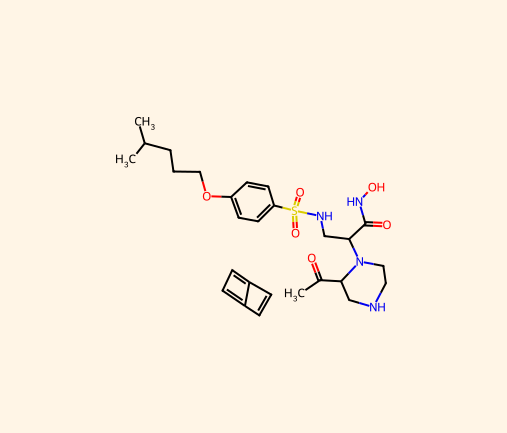 CC(=O)C1CNCCN1C(CNS(=O)(=O)c1ccc(OCCCC(C)C)cc1)C(=O)NO.c1cc2ccc1-2